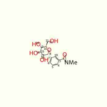 CNC(=O)c1cccc([C@H]2O[C@H](CO)[C@@H](O)[C@H](O)[C@H]2O)c1